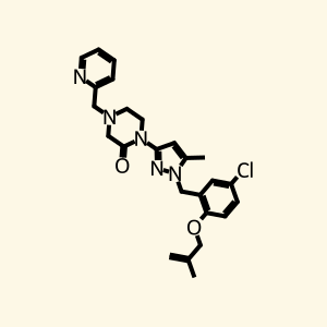 C=C(C)COc1ccc(Cl)cc1Cn1nc(N2CCN(Cc3ccccn3)CC2=O)cc1C